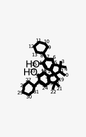 CC1C(C)(C)c2cc(C3CCCCC3)c(O)cc2C12CC(C)(C)c1cc(C3CCCCC3)c(O)cc12